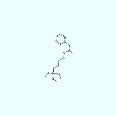 CO[Si](CCCSSN(C)Cc1ccccc1)(OC)OC